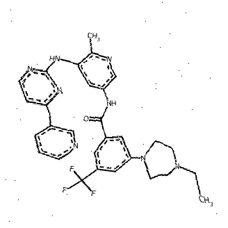 CCN1CCN(c2cc(C(=O)Nc3cnc(C)c(Nc4nccc(-c5cccnc5)n4)c3)cc(C(F)(F)F)c2)CC1